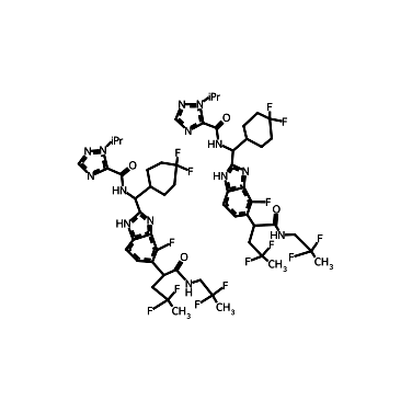 CC(C)n1ncnc1C(=O)NC(c1nc2c(F)c(C(CC(C)(F)F)C(=O)NCC(C)(F)F)ccc2[nH]1)C1CCC(F)(F)CC1.CC(C)n1ncnc1C(=O)NC(c1nc2c(F)c(C(CC(C)(F)F)C(=O)NCC(C)(F)F)ccc2[nH]1)C1CCC(F)(F)CC1